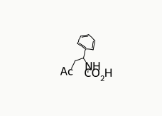 CC(=O)CC(NC(=O)O)c1ccccc1